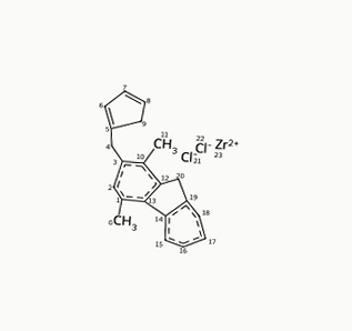 Cc1cc(CC2=CC=CC2)c(C)c2c1-c1ccccc1C2.[Cl-].[Cl-].[Zr+2]